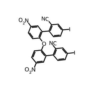 N#Cc1cc(I)ccc1-c1cc([N+](=O)[O-])ccc1Oc1ccc([N+](=O)[O-])cc1-c1ccc(I)cc1C#N